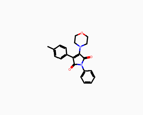 Cc1ccc(C2=C(N3CCOCC3)C(=O)N(c3ccccc3)C2=O)cc1